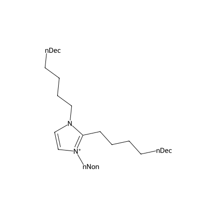 CCCCCCCCCCCCCCc1n(CCCCCCCCCCCCCC)cc[n+]1CCCCCCCCC